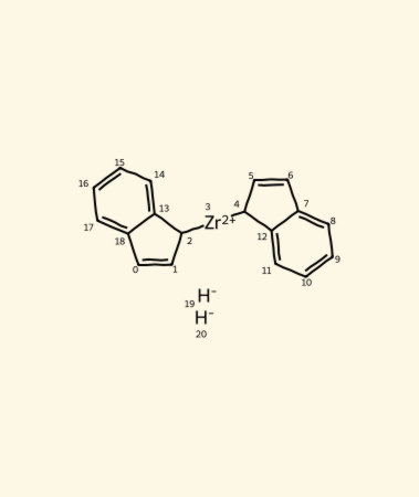 C1=C[CH]([Zr+2][CH]2C=Cc3ccccc32)c2ccccc21.[H-].[H-]